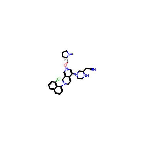 CN1CCC[C@H]1CON1C=C2CN(c3cccc4cccc(Cl)c34)CC=C2C(N2CCNC(CC#N)C2)=C1